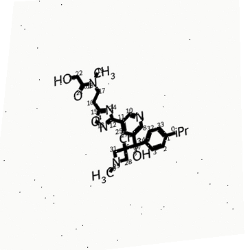 CC(C)c1ccc([C@](O)(c2cncc(-c3noc(CCN(C)C(=O)CO)n3)c2)C2(C)CN(C)C2)cc1